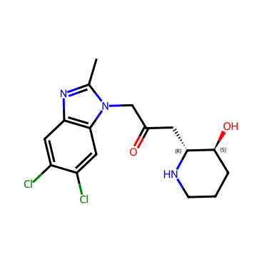 Cc1nc2cc(Cl)c(Cl)cc2n1CC(=O)C[C@H]1NCCC[C@@H]1O